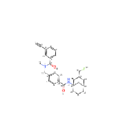 C#Cc1cccc(C(=O)N(C)Cc2ccc(C(=O)NC34CCCC(CC(CF)C3)C4)cc2)c1